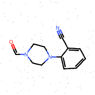 N#Cc1ccccc1N1CCN(C=O)CC1